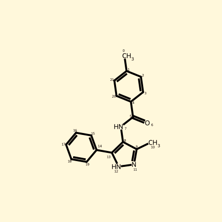 Cc1ccc(C(=O)Nc2c(C)n[nH]c2-c2ccccc2)cc1